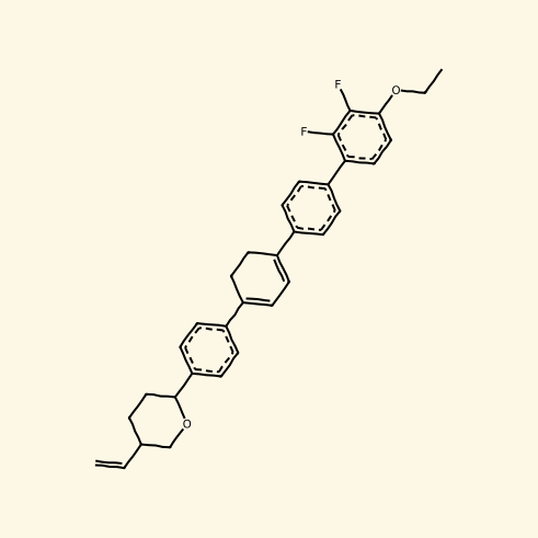 C=CC1CCC(c2ccc(C3=CC=C(c4ccc(-c5ccc(OCC)c(F)c5F)cc4)CC3)cc2)OC1